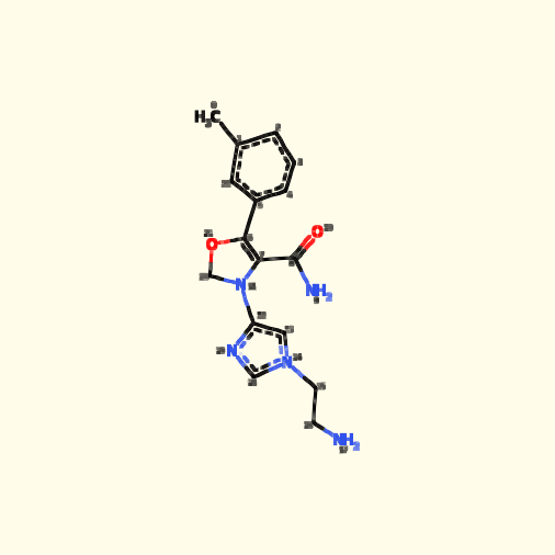 Cc1cccc(C2=C(C(N)=O)N(c3cn(CCN)cn3)CO2)c1